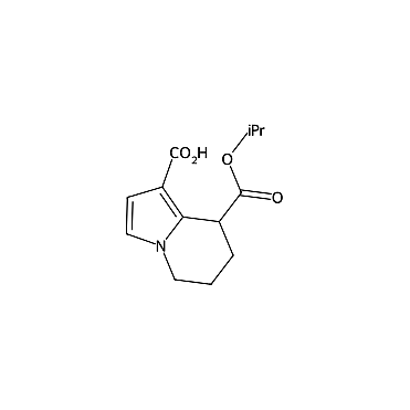 CC(C)OC(=O)C1CCCn2ccc(C(=O)O)c21